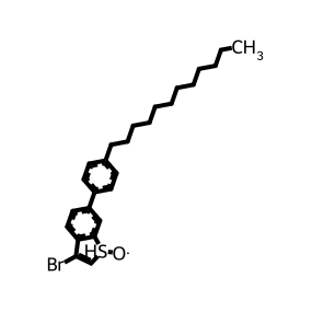 CCCCCCCCCCCCc1ccc(-c2ccc3c(c2)[SH]([O])C=C3Br)cc1